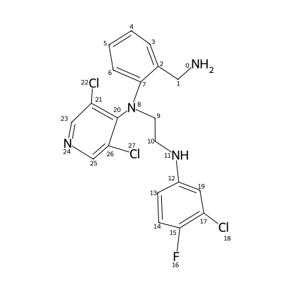 NCc1ccccc1N(CCNc1ccc(F)c(Cl)c1)c1c(Cl)cncc1Cl